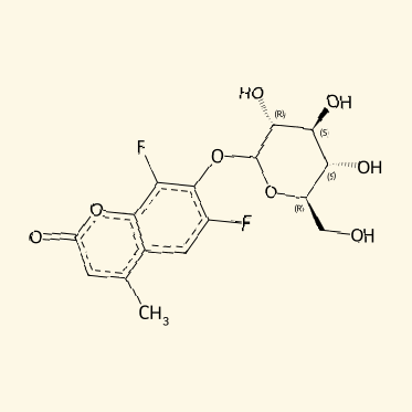 Cc1cc(=O)oc2c(F)c(OC3O[C@H](CO)[C@@H](O)[C@H](O)[C@H]3O)c(F)cc12